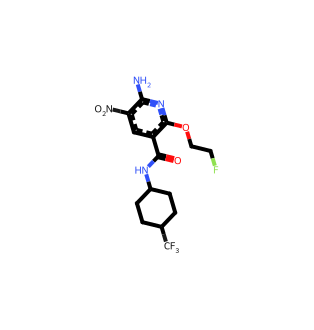 Nc1nc(OCCF)c(C(=O)NC2CCC(C(F)(F)F)CC2)cc1[N+](=O)[O-]